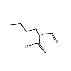 CCCCN(C=O)C(=O)Cl